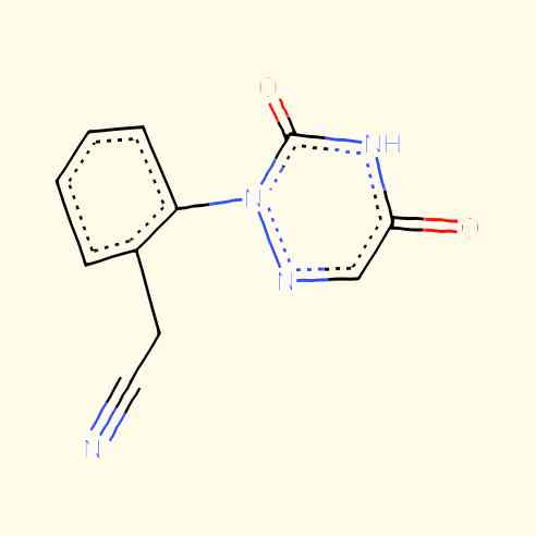 N#CCc1ccccc1-n1ncc(=O)[nH]c1=O